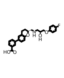 O=C(O)c1cccc(-c2ccc3c(c2)CC[C@H](CNC[C@H](O)COc2ccc(F)cc2)O3)c1